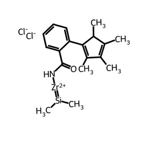 CC1=C(C)C(C)C(c2ccccc2C(=O)[NH][Zr+2]=[Si](C)C)=C1C.[Cl-].[Cl-]